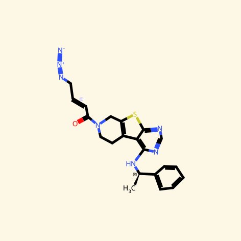 C[C@@H](Nc1ncnc2sc3c(c12)CCN(C(=O)/C=C/CN=[N+]=[N-])C3)c1ccccc1